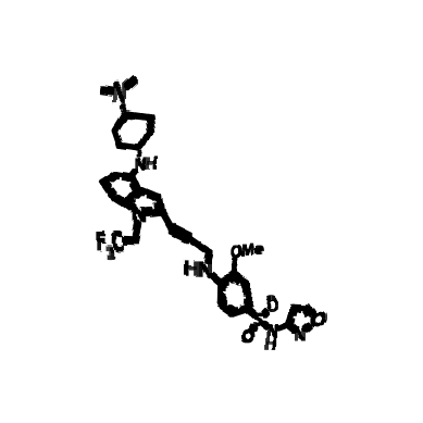 COc1cc(S(=O)(=O)Nc2ccon2)ccc1NCC#Cc1cc2c(N[C@H]3CC[C@@H](N(C)C)CC3)cccc2n1CC(F)(F)F